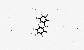 [CH3][Al]([c]1c(F)c(F)c(F)c(F)c1F)[c]1c(F)c(F)c(F)c(F)c1F